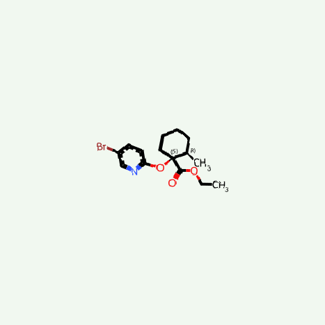 CCOC(=O)[C@]1(Oc2ccc(Br)cn2)CCCC[C@H]1C